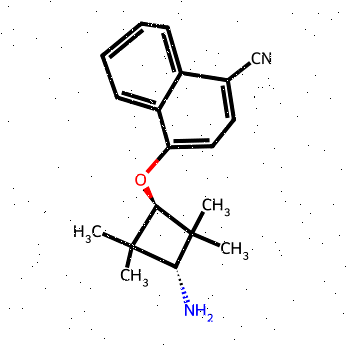 CC1(C)[C@H](N)C(C)(C)[C@H]1Oc1ccc(C#N)c2ccccc12